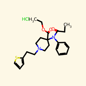 CCOC(=O)C1(N(C(=O)CC)c2ccccc2)CCN(CCc2cccs2)CC1.Cl